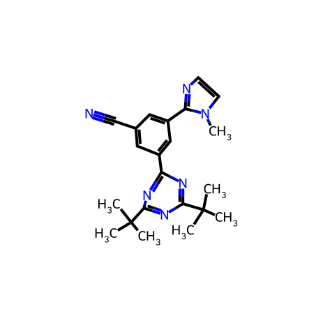 Cn1ccnc1-c1cc(C#N)cc(-c2nc(C(C)(C)C)nc(C(C)(C)C)n2)c1